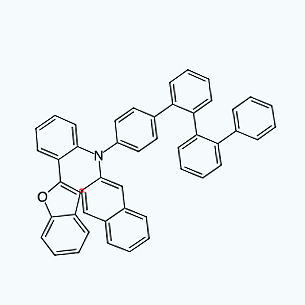 c1ccc(-c2ccccc2-c2ccccc2-c2ccc(N(c3ccc4ccccc4c3)c3ccccc3-c3cc4ccccc4o3)cc2)cc1